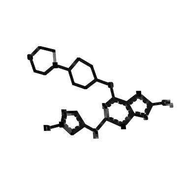 CCn1cc(Nc2nc(OC3CCC(N4CCOCC4)CC3)c3nc(C)sc3n2)cn1